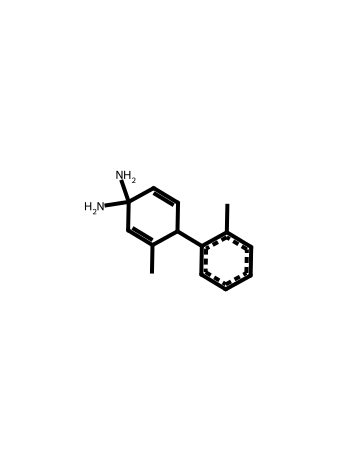 CC1=CC(N)(N)C=CC1c1ccccc1C